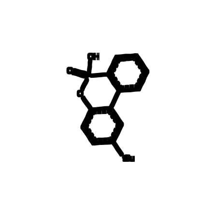 CC(C)(C)c1ccc2c(c1)-c1ccccc1P(=O)(O)O2